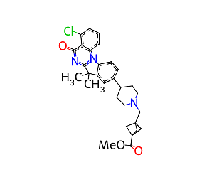 COC(=O)C12CC(CN3CCC(c4ccc5c(c4)C(C)(C)c4nc(=O)c6c(Cl)cccc6n4-5)CC3)(C1)C2